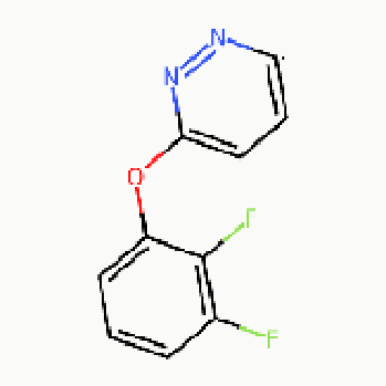 Fc1cccc(Oc2cc[c]nn2)c1F